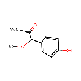 CCOC(C(=O)OC)c1ccc(O)cc1